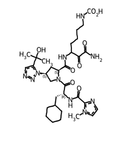 Cn1ccnc1C(=O)N[C@H](CC1CCCCC1)C(=O)N1C[C@@H](n2nncc2C(C)(C)O)C[C@H]1C(=O)NC(CCCCNC(=O)O)C(=O)C(N)=O